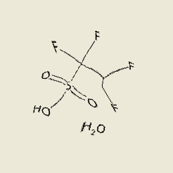 O.O=S(=O)(O)C(F)(F)C(F)F